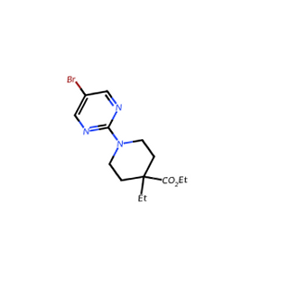 CCOC(=O)C1(CC)CCN(c2ncc(Br)cn2)CC1